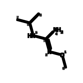 CO/N=C(\N)NC(C)C